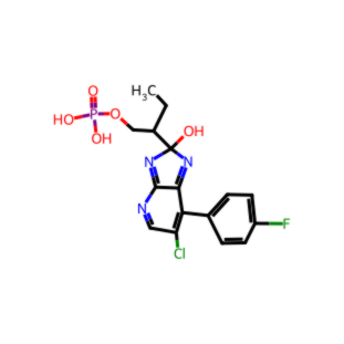 CCC(COP(=O)(O)O)C1(O)N=c2ncc(Cl)c(-c3ccc(F)cc3)c2=N1